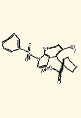 COC(=O)C1(c2c([N+](=O)[O-])cnc3c2ccn3S(=O)(=O)c2ccccc2)CCC1